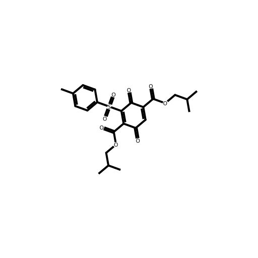 Cc1ccc(S(=O)(=O)C2=C(C(=O)OCC(C)C)C(=O)C=C(C(=O)OCC(C)C)C2=O)cc1